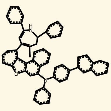 CC1=C(c2cccc3oc4cc(N(c5ccccc5)c5ccc(-c6ccc7ccccc7c6)cc5)c5ccccc5c4c23)C=C(c2ccccc2)NC(c2ccccc2)C1